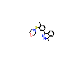 Cc1ccc(-c2nnc(C)c3ccccc23)cc1SN1CCOCC1